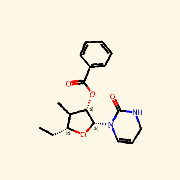 CC[C@H]1O[C@@H](N2C=CCNC2=O)[C@@H](OC(=O)c2ccccc2)C1C